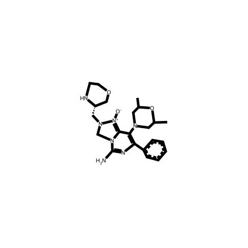 CC1CN(C2=C(c3ccccc3)N=C(N)N3CN(C[C@H]4COCCN4)[N+]([O-])=C23)CC(C)O1